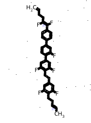 C=CCC/C(F)=C(\F)c1ccc(-c2ccc(-c3cc(F)c(CCc4cc(F)c(CC/C=C/C)c(F)c4)c(F)c3)c(F)c2)cc1